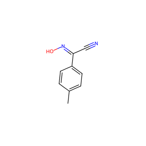 Cc1ccc(/C(C#N)=N\O)cc1